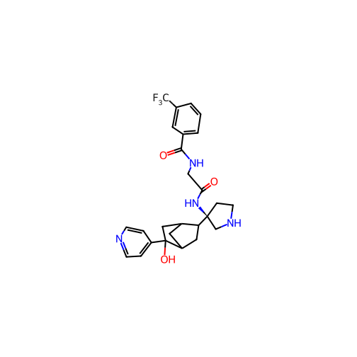 O=C(CNC(=O)c1cccc(C(F)(F)F)c1)N[C@@]1(C2CC3CC2CC3(O)c2ccncc2)CCNC1